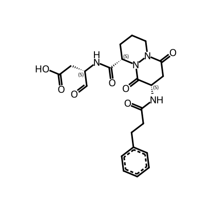 O=C[C@H](CC(=O)O)NC(=O)[C@@H]1CCCN2C(=O)C[C@H](NC(=O)CCc3ccccc3)C(=O)N12